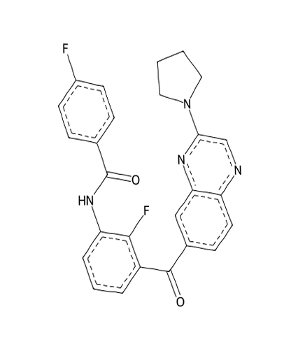 O=C(Nc1cccc(C(=O)c2ccc3ncc(N4CCCC4)nc3c2)c1F)c1ccc(F)cc1